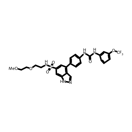 COCCOCCNS(=O)(=O)c1cc(-c2ccc(NC(=O)Nc3cccc(OC(F)(F)F)c3)cc2)c2cn[nH]c2c1